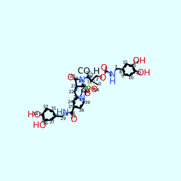 C[C@]1(COC(=O)NCc2ccc(O)c(O)c2)[C@H](C(=O)O)N2C(=O)/C(=C/c3cc(C(=O)NCc4ccc(O)c(O)c4)ccn3)[C@H]2S1(=O)=O